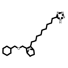 C(CCCCc1nnn[nH]1)CCCCC1C2CCC(O2)C1COCC1CCCCC1